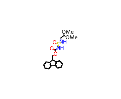 COC(CN[S+]([O-])NC(=O)OCC1c2ccccc2-c2ccccc21)OC